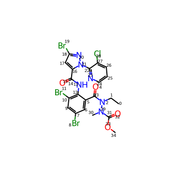 CCN(C(=O)c1cc(Br)cc(Br)c1NC(=O)c1cc(Br)nn1-c1ncccc1Cl)N(C)C(=O)OC